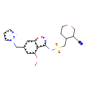 COc1cc(Cn2cccn2)cc2onc(NS(=O)(=O)CC3CCOCC3C#N)c12